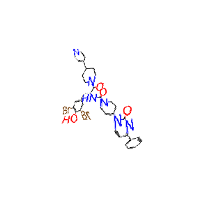 O=C(N[C@H](Cc1cc(Br)c(O)c(Br)c1)C(=O)N1CCC(c2ccncc2)CC1)N1CCC(n2ccc(-c3ccccc3)nc2=O)CC1